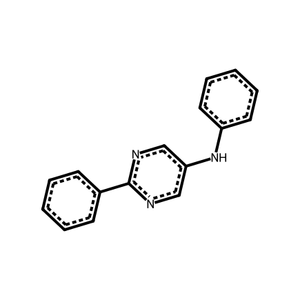 c1ccc(Nc2cnc(-c3ccccc3)nc2)cc1